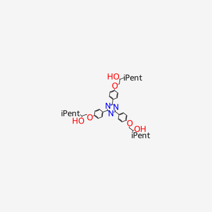 CCCC(C)C(O)COc1ccc(-c2nc(-c3ccc(OCC(O)C(C)CCC)cc3)nc(-c3ccc(OCC(O)C(C)CCC)cc3)n2)cc1